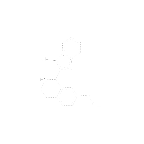 COc1ccc2c(c1)C(c1sc3ccccc3c1Cl)NCC2